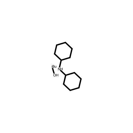 C1CCC(NC2CCCCC2)CC1.CCC(C)O